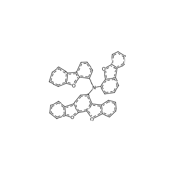 c1ccc2c(c1)oc1c(N(c3cccc4c3oc3ccccc34)c3cc4c5ccccc5oc4c4oc5ccccc5c34)cccc12